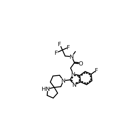 CN(CC(F)(F)F)C(=O)Cn1c(N2CCCC3(CCCN3)C2)nc2ccc(F)cc21